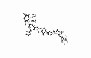 COC(=O)C1=C(CN2CCN3C(=O)N(c4cccc(CC(NC(=O)OC(C)(C)C)C(=O)O)c4)C[C@@H]3C2)NC(c2nccs2)=N[C@H]1c1ccc(F)cc1Cl